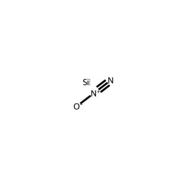 N#[N+][O-].[Si]